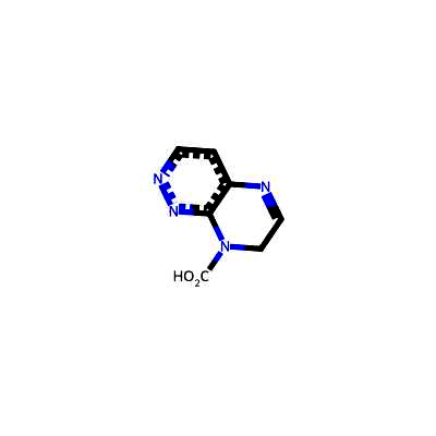 O=C(O)N1CC=Nc2ccnnc21